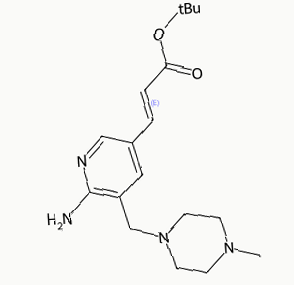 CN1CCN(Cc2cc(/C=C/C(=O)OC(C)(C)C)cnc2N)CC1